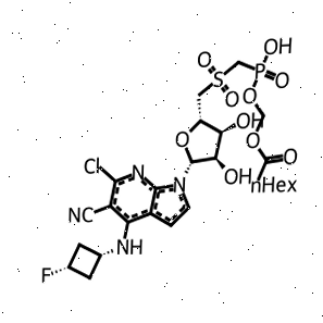 CCCCCCC(=O)OCOP(=O)(O)CS(=O)(=O)C[C@H]1O[C@@H](n2ccc3c(N[C@H]4C[C@@H](F)C4)c(C#N)c(Cl)nc32)[C@H](O)[C@@H]1O